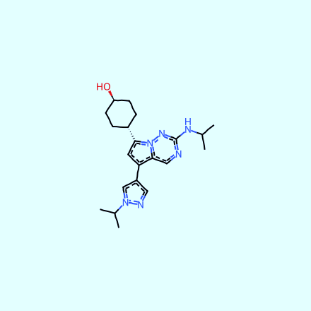 CC(C)Nc1ncc2c(-c3cnn(C(C)C)c3)cc([C@H]3CC[C@H](O)CC3)n2n1